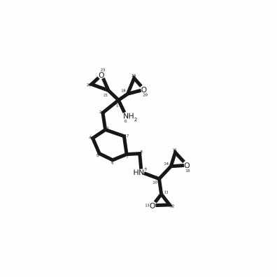 NC(CC1CCCC(CNC(C2CO2)C2CO2)C1)(C1CO1)C1CO1